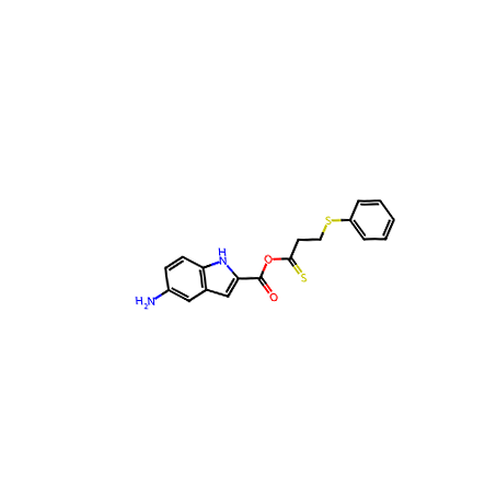 Nc1ccc2[nH]c(C(=O)OC(=S)CCSc3ccccc3)cc2c1